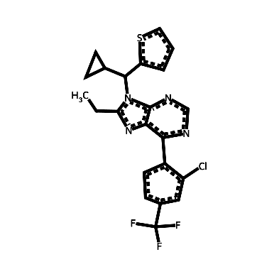 CCc1nc2c(-c3ccc(C(F)(F)F)cc3Cl)ncnc2n1C(c1cccs1)C1CC1